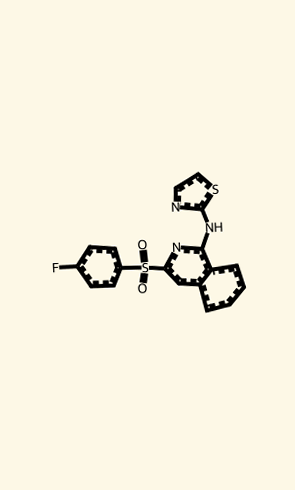 O=S(=O)(c1ccc(F)cc1)c1cc2ccccc2c(Nc2nccs2)n1